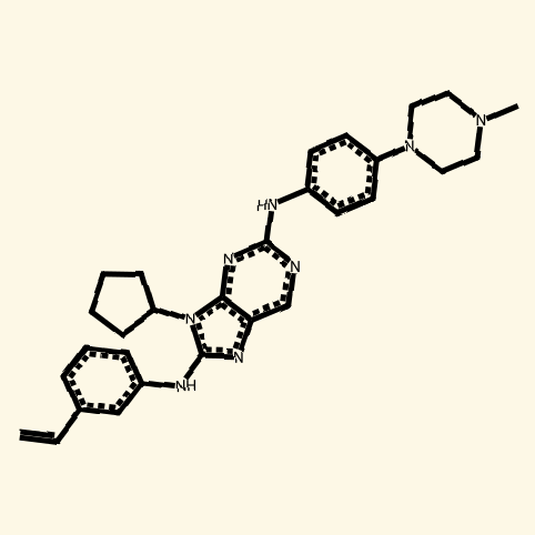 C=Cc1cccc(Nc2nc3cnc(Nc4ccc(N5CCN(C)CC5)cc4)nc3n2C2CCCC2)c1